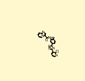 Cc1ccc(-c2nc(-c3cccnc3Cl)no2)cc1NC(=O)c1cnc2ccccn12